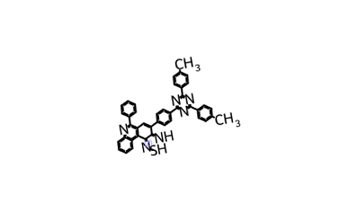 Cc1ccc(-c2nc(-c3ccc(C)cc3)nc(-c3ccc(C4=Cc5c(-c6ccccc6)nc6ccccc6c5/C(=N/S)C4=N)cc3)n2)cc1